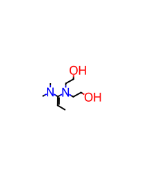 CC=C(N(C)C)N(CCO)CCO